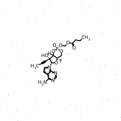 CC#C[C@]1(O)[C@H](n2ccc3c(N)ncnc32)O[C@]2(F)COP(=O)(OCOC(=O)CCC)O[C@@H]12